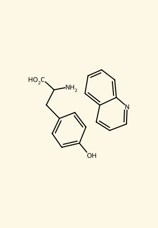 NC(Cc1ccc(O)cc1)C(=O)O.c1ccc2ncccc2c1